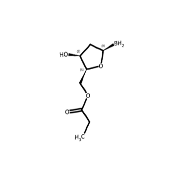 B[C@@H]1C[C@H](O)[C@H](COC(=O)CC)O1